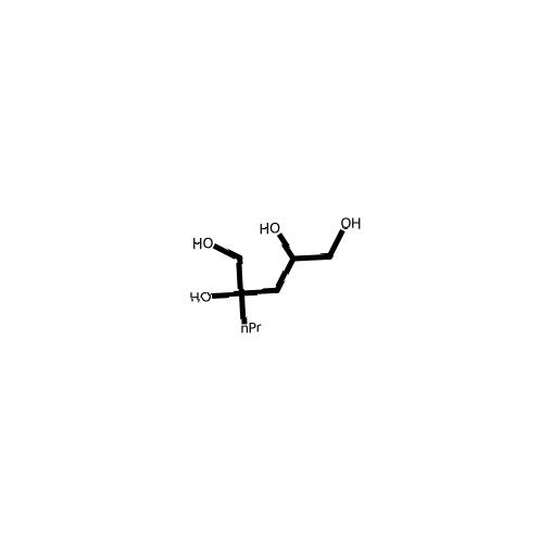 CCCC(O)(CO)CC(O)CO